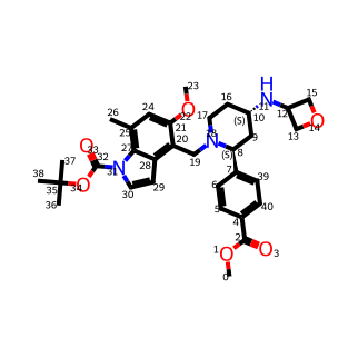 COC(=O)c1ccc([C@@H]2C[C@@H](NC3COC3)CCN2Cc2c(OC)cc(C)c3c2ccn3C(=O)OC(C)(C)C)cc1